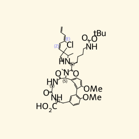 C=C/C=C(Cl)\C=C/C(C)(C=C)C(C)N[C@@H](CCCCNC(=O)OC(C)(C)C)C(=O)N(C)[C@@H]1C(=O)N[C@@H](C)C(=O)N[C@H](C(=O)O)Cc2ccc(OC)c(c2)-c2cc1ccc2OC